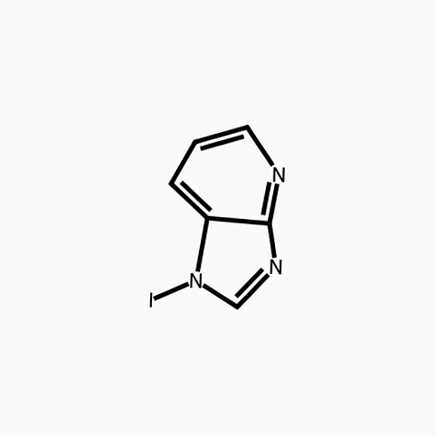 In1cnc2ncccc21